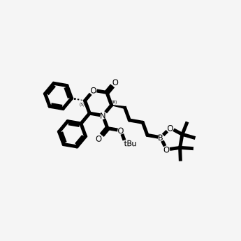 CC(C)(C)OC(=O)N1C(c2ccccc2)[C@H](c2ccccc2)OC(=O)[C@H]1CCCCB1OC(C)(C)C(C)(C)O1